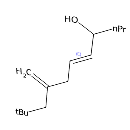 C=C(C/C=C/C(O)CCC)CC(C)(C)C